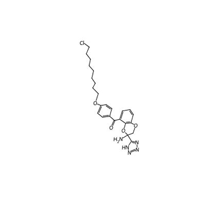 NC1(c2nnn[nH]2)COc2cccc(C(=O)c3ccc(OCCCCCCCCCCl)cc3)c2O1